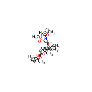 COC(=O)[C@H]1C=C(B2OC(C)(C)C(C)(CCC3(C)OB(B4OC(C)(C)C(C)(C)O4)OC3(C)C)O2)CN1C(=O)OC(C)(C)C